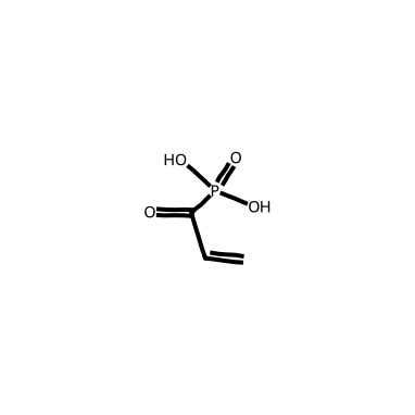 C=CC(=O)P(=O)(O)O